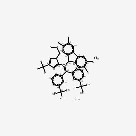 CCCC1C=C(C(C)(C)C)C=[C]1[Zr+2](=[C](c1cccc(C(F)(F)F)c1)c1cccc(C(F)(F)F)c1)[CH]1c2cc(C)c(C)cc2-c2cc(C)c(C)cc21.[Cl-].[Cl-]